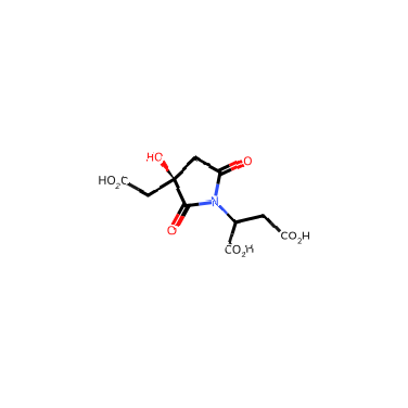 O=C(O)CC(C(=O)O)N1C(=O)C[C@@](O)(CC(=O)O)C1=O